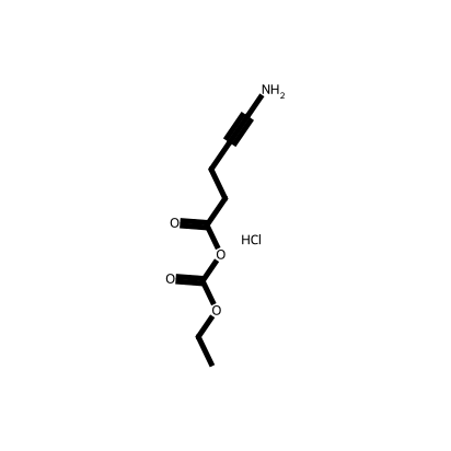 CCOC(=O)OC(=O)CCC#CN.Cl